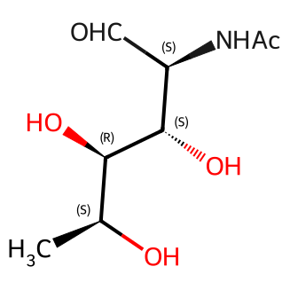 CC(=O)N[C@H](C=O)[C@H](O)[C@H](O)[C@H](C)O